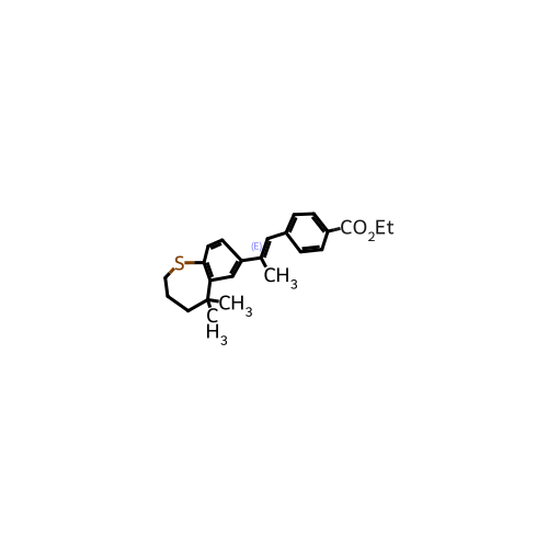 CCOC(=O)c1ccc(/C=C(\C)c2ccc3c(c2)C(C)(C)CCCS3)cc1